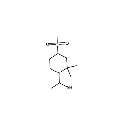 CC(S)N1CCC(S(C)(=O)=O)CC1(C)C